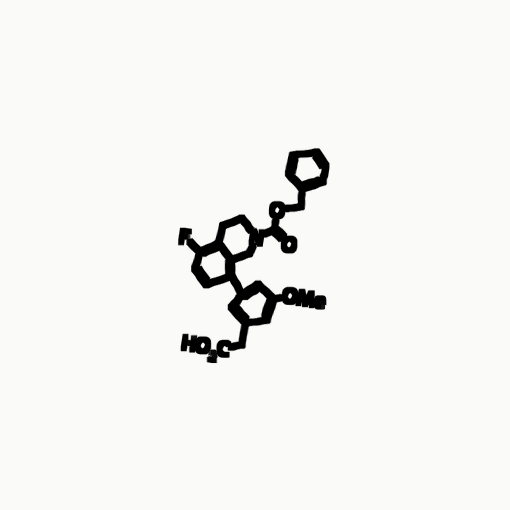 COc1cc(CC(=O)O)cc(-c2ccc(F)c3c2CN(C(=O)OCc2ccccc2)CC3)c1